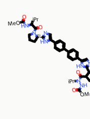 COC(=O)NC(C(=O)N1CCC[C@H]1c1ncc(-c2ccc(-c3ccc(-c4cnc(C5CCCC5C(=O)N(NC(=O)OC)C(C)C)[nH]4)cc3)cc2)[nH]1)C(C)C